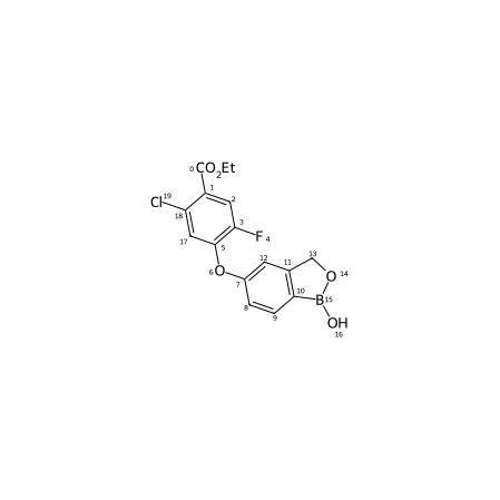 CCOC(=O)c1cc(F)c(Oc2ccc3c(c2)COB3O)cc1Cl